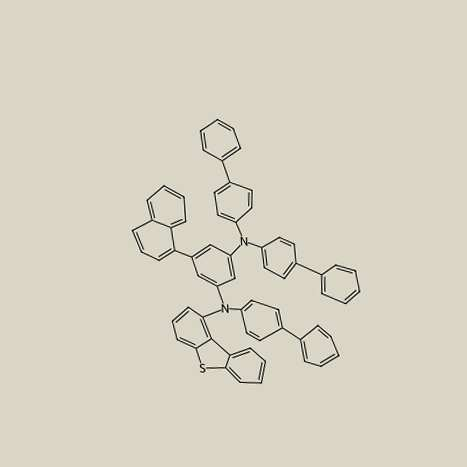 c1ccc(-c2ccc(N(c3ccc(-c4ccccc4)cc3)c3cc(-c4cccc5ccccc45)cc(N(c4ccc(-c5ccccc5)cc4)c4cccc5sc6ccccc6c45)c3)cc2)cc1